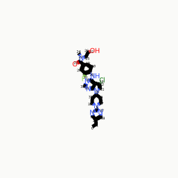 CCc1cnc(N2CCC(n3cc(Cl)c4c(Nc5ccc(C(=O)N(C)CCO)cc5F)ncnc43)CC2)nc1